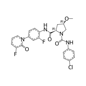 CO[C@@H]1C[C@H](C(=O)Nc2ccc(-n3cccc(F)c3=O)cc2F)N(C(=O)Nc2ccc(Cl)cc2)C1